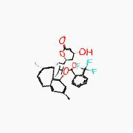 C[C@H]1C=C2C=C[C@H](C)[C@H](CC[C@@H]3C[C@@H](O)CC(=O)O3)[C@H]2[C@@H](OC(=O)c2ccccc2C(F)(F)F)C1